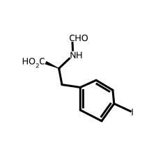 O=CN[C@@H](Cc1ccc(I)cc1)C(=O)O